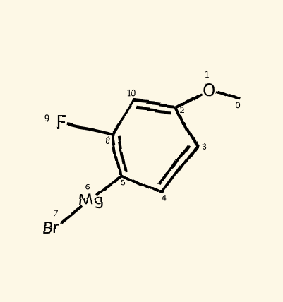 COc1cc[c]([Mg][Br])c(F)c1